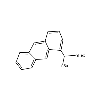 CCCCCCC(CCCC)c1cccc2cc3ccccc3cc12